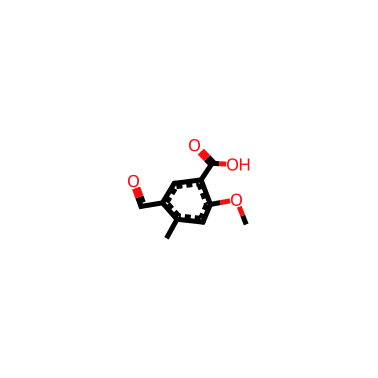 COc1cc(C)c(C=O)cc1C(=O)O